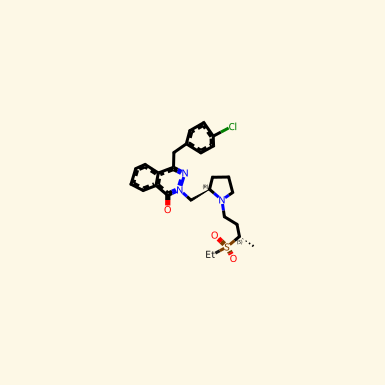 CCS(=O)(=O)[C@@H](C)CCN1CCC[C@@H]1Cn1nc(Cc2ccc(Cl)cc2)c2ccccc2c1=O